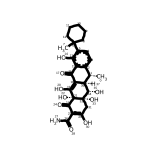 C[C@H]1c2ccc(C3(C)CCCCC3)c(O)c2C(=O)C2=C(O)[C@]3(O)C(=O)C(C(N)=O)=C(O)C[C@]3(O)[C@@H](O)[C@@H]21